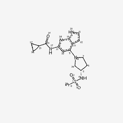 CC(C)S(=O)(=O)N[C@H]1CCN(c2cc(NC(=O)C3CC3)nc3[nH]ccc23)C1